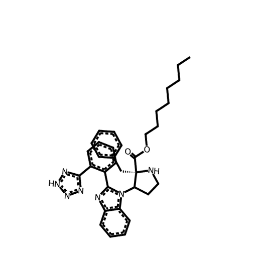 CCCCCCCCOC(=O)[C@@]1(Cc2ccccc2)NCCC1n1c(-c2ccccc2-c2nn[nH]n2)nc2ccccc21